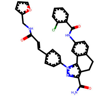 NC(=O)c1nn(-c2ccc(C=CC(=O)NCc3ccco3)cc2)c2c1CCc1ccc(NC(=O)c3ccccc3Cl)cc1-2